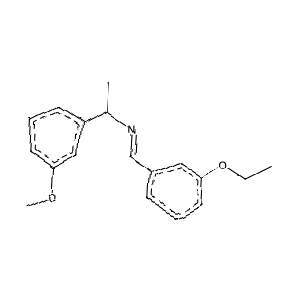 CCOc1cccc(C=NC(C)c2cccc(OC)c2)c1